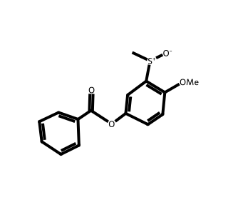 COc1ccc(OC(=O)c2ccccc2)cc1[S+](C)[O-]